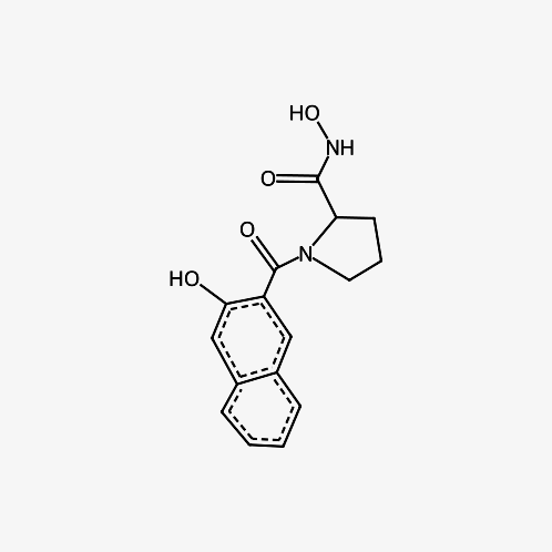 O=C(NO)C1CCCN1C(=O)c1cc2ccccc2cc1O